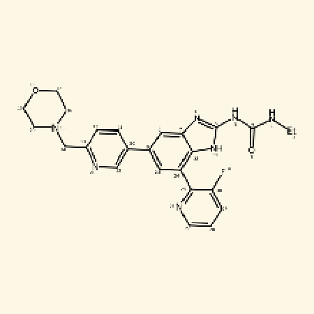 CCNC(=O)Nc1nc2cc(-c3ccc(CN4CCOCC4)nc3)cc(-c3ncccc3F)c2[nH]1